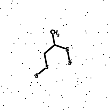 CC(CS[S])S[S]